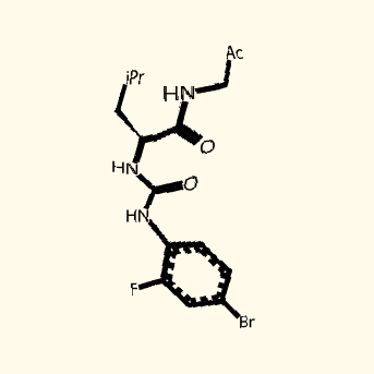 CC(=O)CNC(=O)[C@H](CC(C)C)NC(=O)Nc1ccc(Br)cc1F